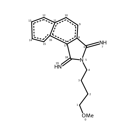 COCCCCN1C(=N)c2ccc3ccccc3c2C1=N